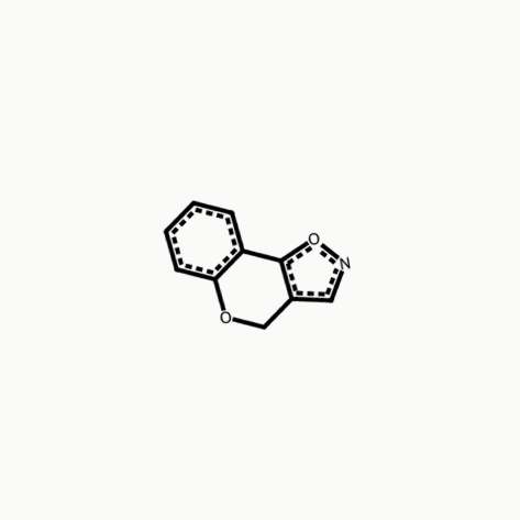 c1ccc2c(c1)OCc1cnoc1-2